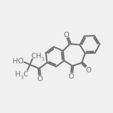 CC(C)(O)C(=O)c1ccc2c(c1)C(=O)C(=O)c1ccccc1C2=O